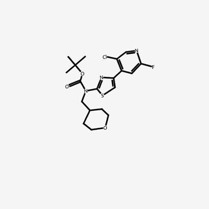 CC(C)(C)OC(=O)N(CC1CCOCC1)c1nc(-c2cc(F)ncc2Cl)cs1